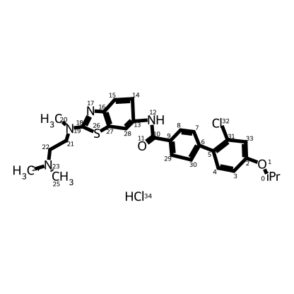 CC(C)Oc1ccc(-c2ccc(C(=O)Nc3ccc4nc(N(C)CCN(C)C)sc4c3)cc2)c(Cl)c1.Cl